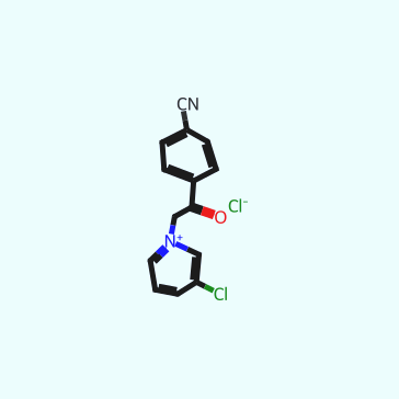 N#Cc1ccc(C(=O)C[n+]2cccc(Cl)c2)cc1.[Cl-]